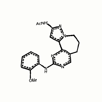 COc1ccccc1Nc1ncc2c(n1)-c1cc(NC(C)=O)nn1CCC2